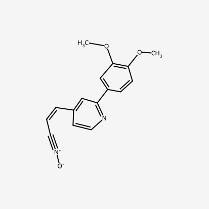 COc1ccc(-c2cc(/C=C\C#[N+][O-])ccn2)cc1OC